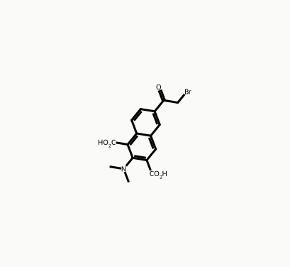 CN(C)c1c(C(=O)O)cc2cc(C(=O)CBr)ccc2c1C(=O)O